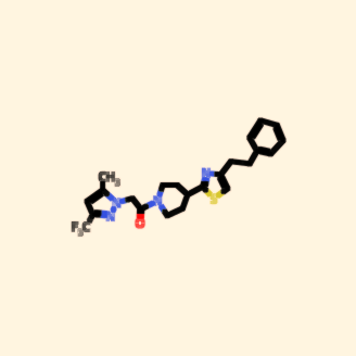 Cc1cc(C(F)(F)F)nn1CC(=O)N1CCC(c2nc(CCc3ccccc3)cs2)CC1